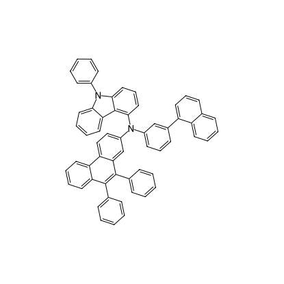 c1ccc(-c2c(-c3ccccc3)c3cc(N(c4cccc(-c5cccc6ccccc56)c4)c4cccc5c4c4ccccc4n5-c4ccccc4)ccc3c3ccccc23)cc1